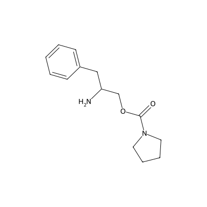 NC(COC(=O)N1CCCC1)Cc1ccccc1